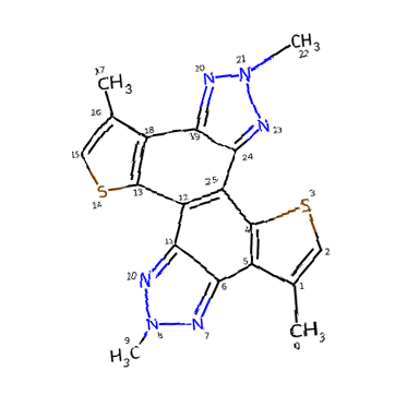 Cc1csc2c1c1nn(C)nc1c1c3scc(C)c3c3nn(C)nc3c21